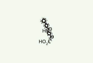 O=C(O)CCC(=O)c1ccc(NC(=O)c2ccc(-c3ccccc3)cc2)cc1